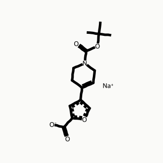 CC(C)(C)OC(=O)N1CC=C(c2coc(C(=O)[O-])c2)CC1.[Na+]